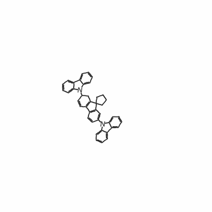 C1=CC(n2c3ccccc3c3ccccc32)CC2=C1c1ccc(-n3c4ccccc4c4ccccc43)cc1C21CCCC1